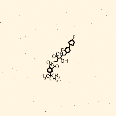 CC(C)(C)c1ccc2c(c1)C(=O)N(CCC(C(=O)O)C(O)CCc1ccc(-c3ccc(F)cc3)cc1F)C2=O